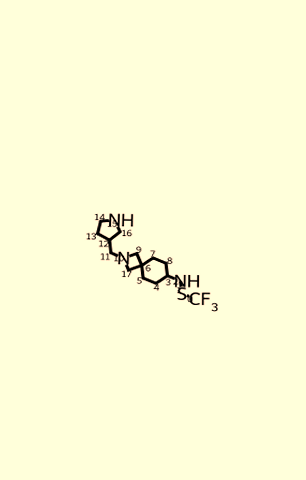 FC(F)(F)SNC1CCC2(CC1)CN(CC1CCNC1)C2